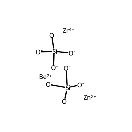 [Be+2].[O-][Si]([O-])([O-])[O-].[O-][Si]([O-])([O-])[O-].[Zn+2].[Zr+4]